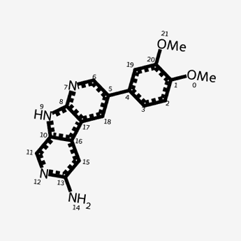 COc1ccc(-c2cnc3[nH]c4cnc(N)cc4c3c2)cc1OC